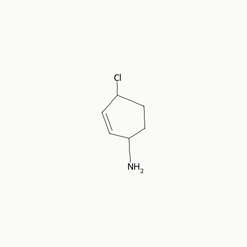 NC1C=CC(Cl)CC1